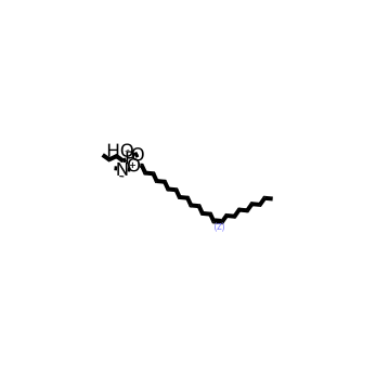 CCCCCCCC/C=C\CCCCCCCCCCCCCOP(=O)(O)C(CCC)[N+](C)(C)C